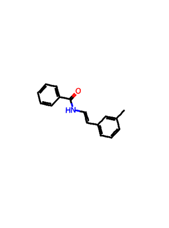 Cc1cccc(C=CNC(=O)c2ccccc2)c1